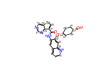 O=C(Nc1cc2cccnc2cc1O[C@H]1CC[C@@H](O)CC1)c1csc2cncnc12